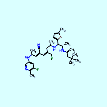 C=C(CC(C)(C)C)N[C@@H](C)C(NC(C)C/C(=C\C(C#N)=CC(C)Nc1cnc(C)c(F)c1)CF)c1ccc(C)s1